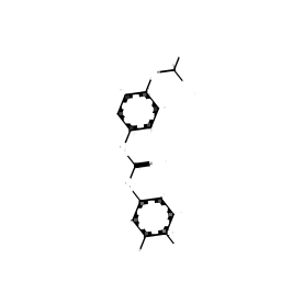 Cc1cc(NC(=O)Nc2ccc(OC(F)F)cc2)ccc1Cl